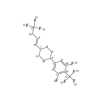 Fc1cc(C2CCC(/C=C/CC(F)(F)F)CC2)cc(F)c1C(F)(F)F